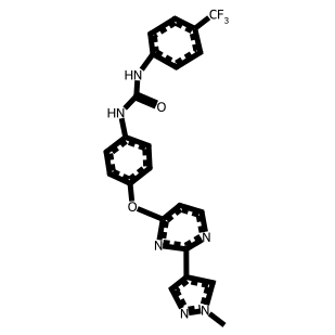 Cn1cc(-c2nccc(Oc3ccc(NC(=O)Nc4ccc(C(F)(F)F)cc4)cc3)n2)cn1